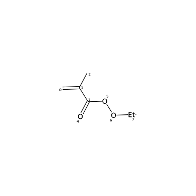 C=C(C)C(=O)OO[CH]C